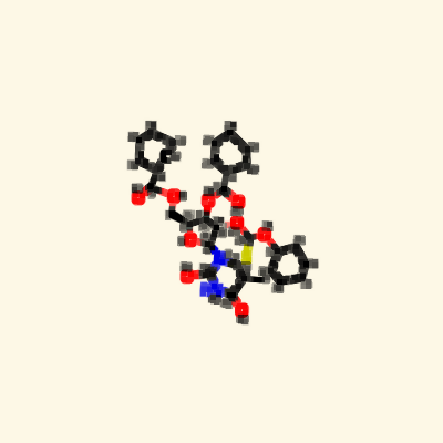 Cc1cn([C@H]2O[C@@H](COC(=O)c3ccccc3)[C@@H](OC(=O)c3ccccc3)[C@@H]2OC(=S)Oc2ccccc2)c(=O)[nH]c1=O